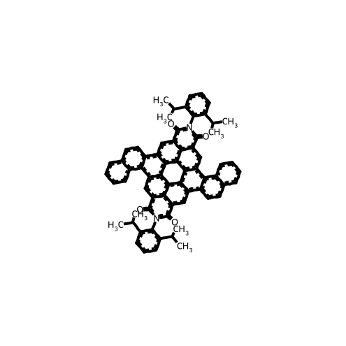 CC(C)c1cccc(C(C)C)c1-n1c(=O)c2cc3c4ccc5ccccc5c4c4cc5c(=O)n(-c6c(C(C)C)cccc6C(C)C)c(=O)c6cc7c8ccc9ccccc9c8c8cc(c1=O)c2c1c3c4c(c65)c7c81